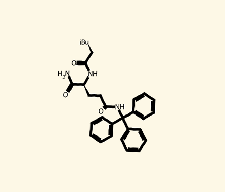 CC[C@H](C)CC(=O)N[C@@H](CCC(=O)NC(c1ccccc1)(c1ccccc1)c1ccccc1)C(N)=O